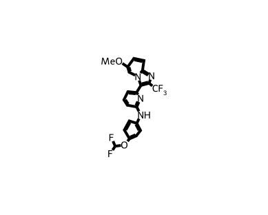 COc1ccc2nc(C(F)(F)F)c(-c3cccc(Nc4ccc(OC(F)F)cc4)n3)n2c1